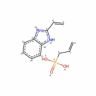 C=CCP(=O)(O)O.C=Cc1nc2ccccc2[nH]1